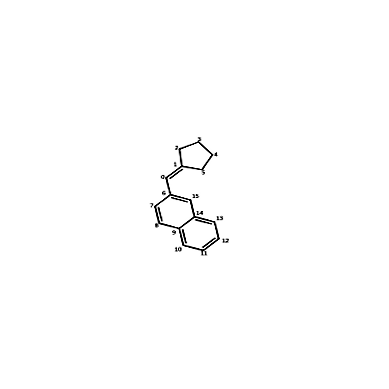 C(=C1CCCC1)c1ccc2ccccc2c1